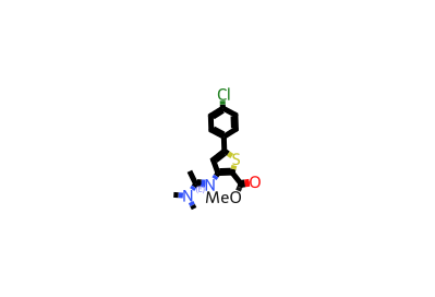 COC(=O)c1sc(-c2ccc(Cl)cc2)cc1/N=C(\C)N(C)C